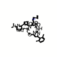 C=C/C=C\CC1(O)N(C2CCC2c2cccc(N(C)C)n2)[C@H](CC(C)(C)C)COc2cc(-c3c(C)cccc3C)nc(n2)NS1(=O)=O